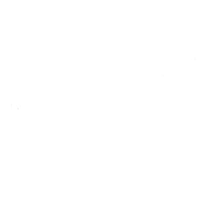 C=CC(=O)OP(=O)(O)OCCOC(=O)C(C)=COP(=O)(O)O